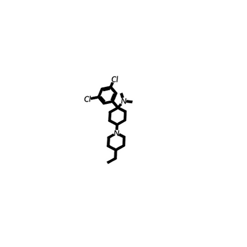 CCC1CCN(C2CCC(c3cc(Cl)cc(Cl)c3)(N(C)C)CC2)CC1